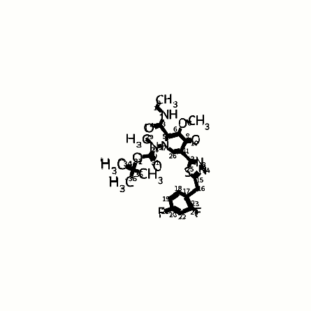 CCNC(=O)c1c(OC)c(=O)c(-c2nnc(Cc3ccc(F)cc3F)s2)cn1N(C)C(=O)OC(C)(C)C